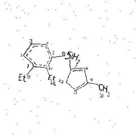 CCc1cccc([SiH2]C2=CC(C)=CC2)c1CC